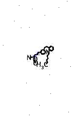 CCCCCCN1c2ccccc2CCc2cc(/C=C/C=C(/C#N)OC=O)ccc21